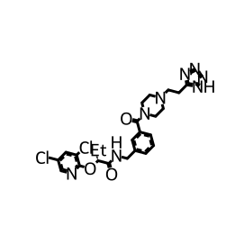 CC[C@@H](Oc1ncc(Cl)cc1Cl)C(=O)NCc1cccc(C(=O)N2CCN(CCc3nnn[nH]3)CC2)c1